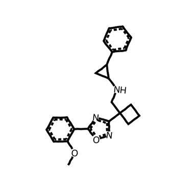 COc1ccccc1-c1nc(C2(CNC3CC3c3ccccc3)CCC2)no1